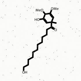 COC1=CC(C)(C(=O)CCCCCCCCCCCO)C=C(O)C1OC